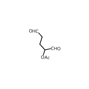 CC(=O)OC(C=O)CCC=O